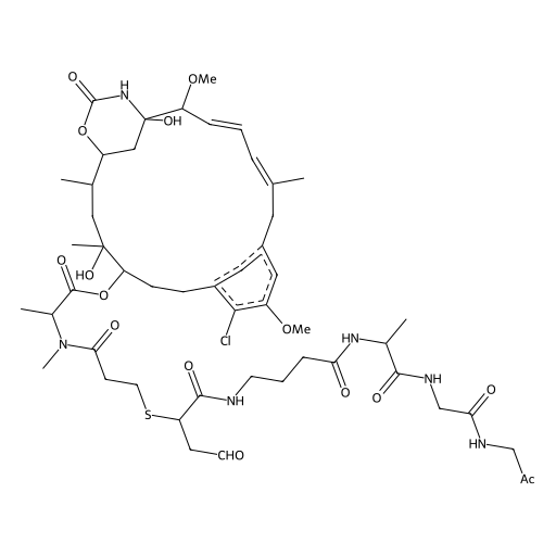 COc1cc2cc(c1Cl)CCC(OC(=O)C(C)N(C)C(=O)CCSC(CC=O)C(=O)NCCCC(=O)NC(C)C(=O)NCC(=O)NCC(C)=O)C(C)(O)CC(C)C1CC(O)(NC(=O)O1)C(OC)/C=C/C=C(\C)C2